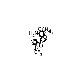 CC1(C)CC2(C=C(N)C1=O)CN(C(=O)c1ccncc1OCC(F)(F)F)CCO2